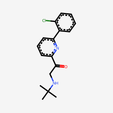 CC(C)(C)NCC(=O)c1cccc(-c2ccccc2Cl)n1